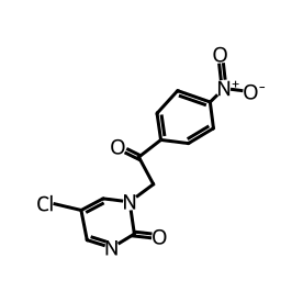 O=C(Cn1cc(Cl)cnc1=O)c1ccc([N+](=O)[O-])cc1